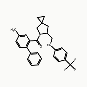 Cc1ccc(-c2ccccc2)c(C(=O)N2CC3(CC3)CC2CNc2ccc(C(F)(F)F)cn2)n1